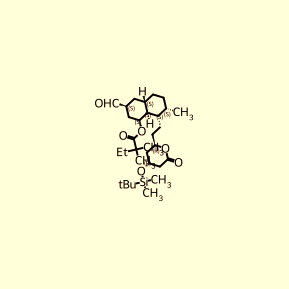 CCC(C)(C)C(=O)O[C@H]1C[C@@H](C=O)C[C@@H]2CC[C@H](C)[C@H](CC[C@@H]3C[C@@H](O[Si](C)(C)C(C)(C)C)CC(=O)O3)[C@H]21